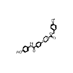 COc1ccc(COC(=O)N2CCN(c3ccc(C(=O)Nc4ccc(O)cc4)cc3)CC2)cc1